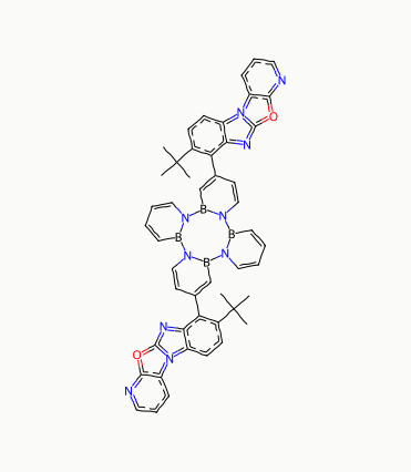 CC(C)(C)c1ccc2c(nc3oc4ncccc4n32)c1C1=CB2N3C=CC=CB3N3C=CC(c4c(C(C)(C)C)ccc5c4nc4oc6ncccc6n45)=CB3N3C=CC=CB3N2C=C1